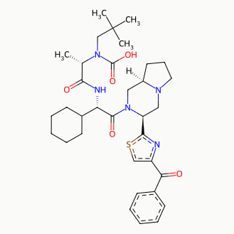 C[C@@H](C(=O)N[C@H](C(=O)N1C[C@H]2CCCN2C[C@H]1c1nc(C(=O)c2ccccc2)cs1)C1CCCCC1)N(CC(C)(C)C)C(=O)O